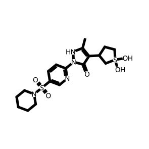 Cc1[nH]n(-c2ccc(S(=O)(=O)N3CCCCC3)cn2)c(=O)c1C1CCS(O)(O)C1